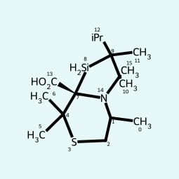 CC1CSC(C)(C)[C@@]([SiH2]C(C)(C)C(C)C)(C(=O)O)N1C